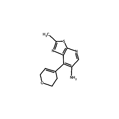 Cc1nc2c(C3=CCOCC3)c(N)cnc2s1